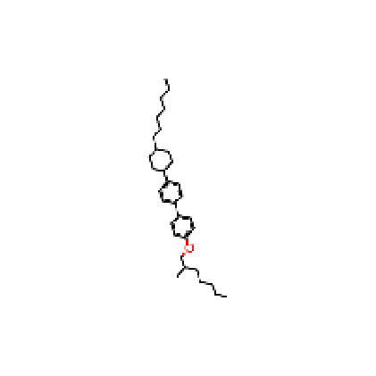 CCCCCCCC1CCC(c2ccc(-c3ccc(OCC(C)CCCCC)cc3)cc2)CC1